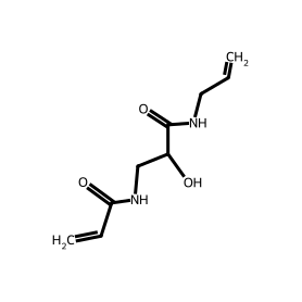 C=CCNC(=O)C(O)CNC(=O)C=C